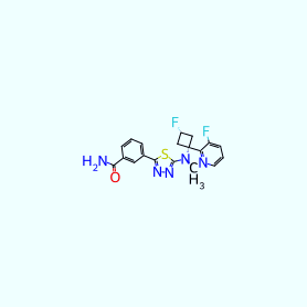 CN(c1nnc(-c2cccc(C(N)=O)c2)s1)[C@]1(c2ncccc2F)C[C@H](F)C1